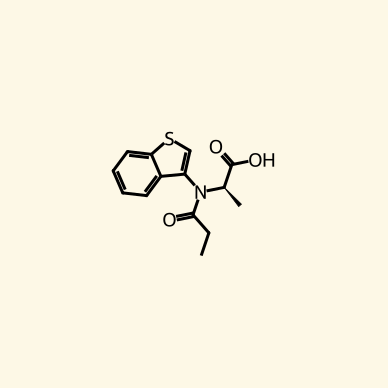 CCC(=O)N(c1csc2ccccc12)[C@H](C)C(=O)O